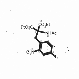 CCOC(=O)C(Cc1ccc(I)cc1[N+](=O)[O-])(NC(C)=O)C(=O)OCC